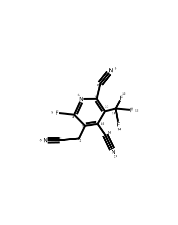 N#CCc1c(F)nc(C#N)c(C(F)(F)F)c1C#N